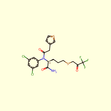 NC(=O)[C@H](CCCSCC(=O)C(F)(F)F)N(C(=O)Cc1ccsc1)c1cc(Cl)cc(Cl)c1